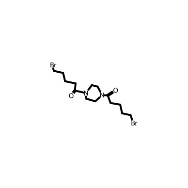 O=C(CCCCBr)N1CCN(C(=O)CCCCBr)CC1